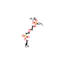 C#CCOS(=O)(=O)CCOCCOP(C)(=O)OC